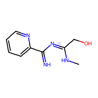 CN/C(CO)=N\C(=N)c1ccccn1